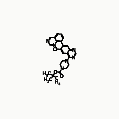 CC(C)(C)OC(=O)N1CCN(c2ncnc3cc(-c4cccc5cncnc45)c(Cl)cc23)CC1